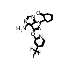 Nc1ncnc2c1c(Oc1cc(C(F)(F)F)ccn1)nn2C1CCCCC1=O